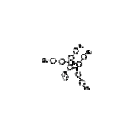 CC(C)(C)c1ccc(-c2ccc(N3c4ccc(-c5ccc(C(C)(C)C)cc5)cc4B4c5cc(-c6ccc(C(C)(C)C)cc6)ccc5N(c5ccc(-c6ccc(C(C)(C)C)cc6)cc5)c5cc(N6C7CC8CC(C7)CC6C8)cc3c54)cc2)cc1